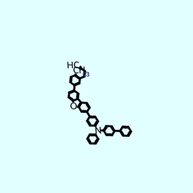 C#C/C=C\c1cc(-c2ccc3oc4cc(-c5ccc(N(c6ccccc6)c6ccc(-c7ccccc7)cc6)cc5)ccc4c3c2)ccc1C